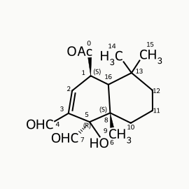 CC(=O)O[C@@H]1C=C(C=O)[C@@](O)(C=O)[C@@]2(C)CCCC(C)(C)C12